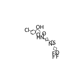 O=C(NC12CC(c3csc([C@H]4C[C@@H](OC(F)(F)F)C4)n3)(C1)C2)[C@H]1C[C@@H](O)c2cc(Cl)ccc2O1